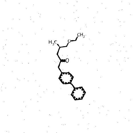 CCOC[C@H](C)CC(=O)Cc1ccc(-c2ccccc2)cc1